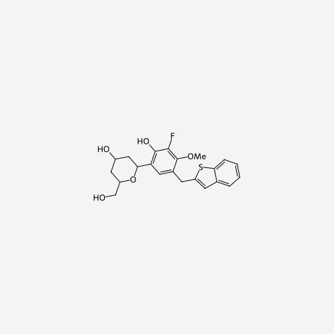 COc1c(Cc2cc3ccccc3s2)cc(C2CC(O)CC(CO)O2)c(O)c1F